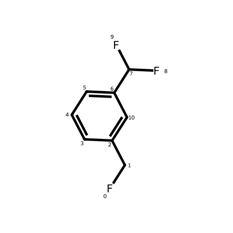 FCc1cccc(C(F)F)c1